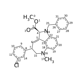 COC(=O)[C@@H]1C2=CC(c3cccc(Cl)c3)CN(C)c3cccc(c32)N1Cc1ccccc1